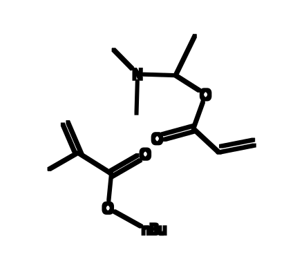 C=C(C)C(=O)OCCCC.C=CC(=O)OC(C)N(C)C